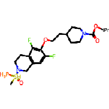 CC(C)OC(=O)N1CCC(CCOc2c(F)cc3c(c2F)CCN([SH](C)(=O)P)C3)CC1